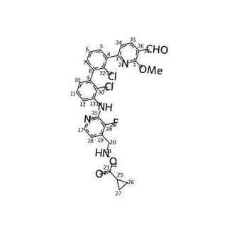 COc1nc(-c2cccc(-c3cccc(Nc4nccc(CNOC(=O)C5CC5)c4F)c3Cl)c2Cl)ccc1C=O